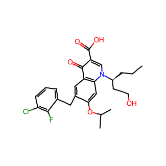 CCC[C@@H](CCO)n1cc(C(=O)O)c(=O)c2cc(Cc3cccc(Cl)c3F)c(OC(C)C)cc21